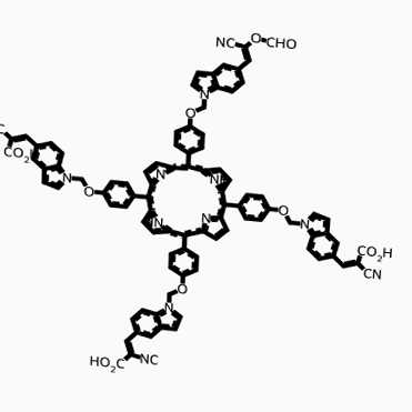 [C-]#[N+]/C(=C\c1ccc2c(ccn2COc2ccc(-c3c4nc(c(-c5ccc(OCn6ccc7cc(/C=C(/C#N)C(=O)O)ccc76)cc5)c5ccc([nH]5)c(-c5ccc(OCn6ccc7cc(/C=C(\C#N)OC=O)ccc76)cc5)c5nc(c(-c6ccc(OCn7ccc8cc(/C=C(/C#N)C(=O)O)ccc87)cc6)c6ccc3[nH]6)C=C5)C=C4)cc2)c1)C(=O)O